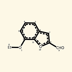 CCOc1cccc2cc(C=O)oc12